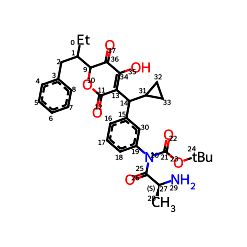 CCC(Cc1ccccc1)C1OC(=O)C(C(c2cccc(N(C(=O)OC(C)(C)C)C(=O)[C@H](C)N)c2)C2CC2)=C(O)C1=O